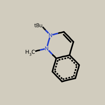 CN1c2ccccc2C=CN1C(C)(C)C